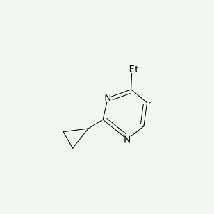 CCc1[c]cnc(C2CC2)n1